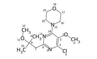 COc1c(Cl)nc(CC(C)(C)OC)nc1N1CCOCC1